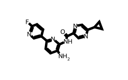 Nc1ccc(-c2ccc(F)nc2)nc1NC(=O)c1cnc(C2CC2)cn1